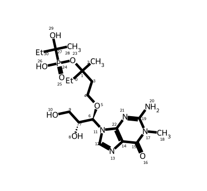 CCC(C)(CCO[C@H]([C@H](O)CO)n1cnc2c(=O)n(C)c(N)nc21)OP(=O)(O)C(C)(O)CC